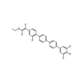 CCO/C(F)=C(\F)c1ccc(-c2ccc(-c3ccc(-c4cc(F)c(F)c(F)c4)cc3)cc2)c(F)c1